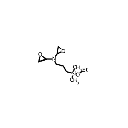 CCO[Si](C)(C)CCCN(C1CO1)C1CO1